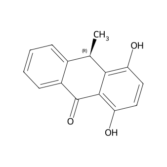 C[C@@H]1c2ccccc2C(=O)c2c(O)ccc(O)c21